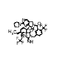 C=C(/C=C\C(F)=C/C)[C@@]1(CCCC(F)(F)F)NC(=N)N(Cc2ccc(C(F)(F)F)c(C(=O)N3Cc4cnc(N5CCCC5)nc4C3)c2)C1=O